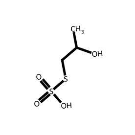 CC(O)CSS(=O)(=O)O